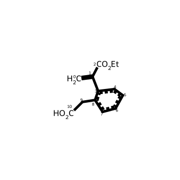 C=C(C(=O)OCC)c1ccccc1CC(=O)O